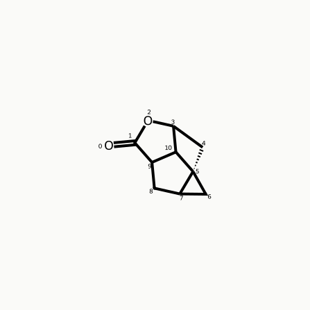 O=C1OC2C[C@]34CC3CC1C24